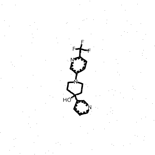 OC1(c2cccnc2)CCN(c2ccc(C(F)(F)F)nc2)CC1